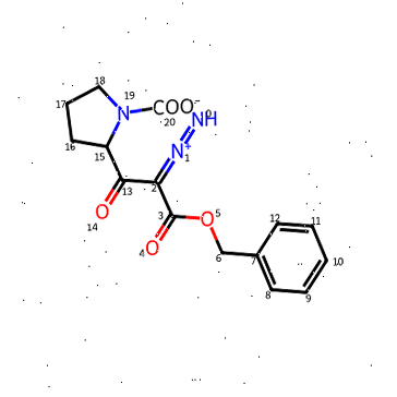 N=[N+]=C(C(=O)OCc1ccccc1)C(=O)C1CCCN1C(=O)[O-]